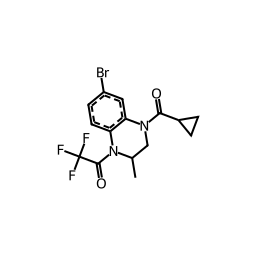 CC1CN(C(=O)C2CC2)c2cc(Br)ccc2N1C(=O)C(F)(F)F